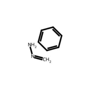 C=NN.c1ccccc1